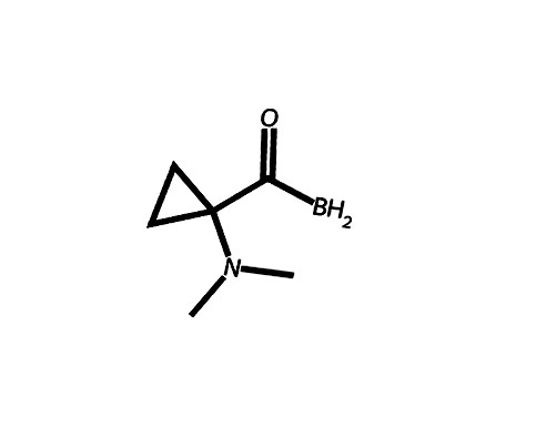 BC(=O)C1(N(C)C)CC1